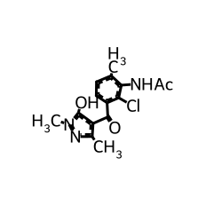 CC(=O)Nc1c(C)ccc(C(=O)c2c(C)nn(C)c2O)c1Cl